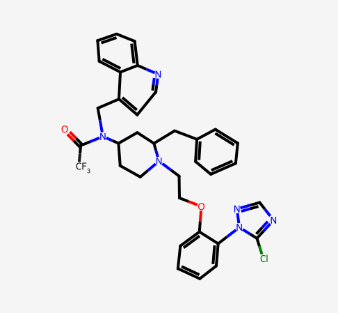 O=C(N(Cc1ccnc2ccccc12)C1CCN(CCOc2ccccc2-n2ncnc2Cl)C(Cc2ccccc2)C1)C(F)(F)F